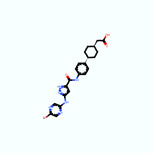 O=C(O)C[C@H]1CC[C@H](c2ccc(NC(=O)c3cc(Nc4cnc(Br)cn4)n[nH]3)cc2)CC1